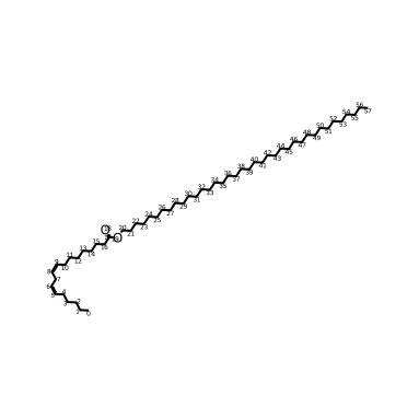 CCCCC/C=C\C/C=C\CCCCCCCC(=O)OCCCCCCCCCCCCCCCCCCCCCCCCCCCCCCCCCCCCCC